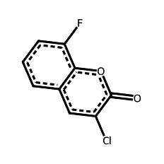 O=c1oc2c(F)cccc2cc1Cl